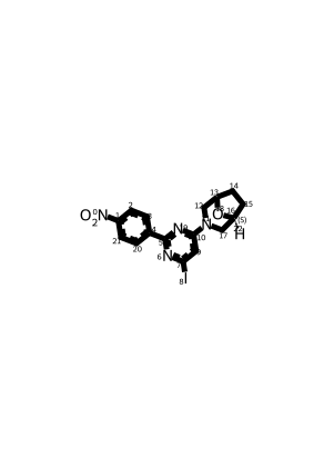 O=[N+]([O-])c1ccc(-c2nc(I)cc(N3CC4CC[C@@H](C3)O4)n2)cc1